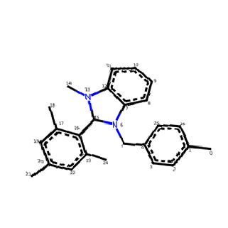 Cc1ccc(CN2c3ccccc3N(C)C2c2c(C)cc(C)cc2C)cc1